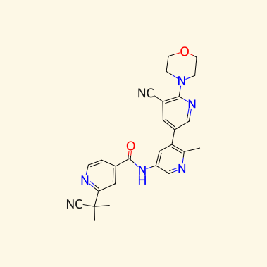 Cc1ncc(NC(=O)c2ccnc(C(C)(C)C#N)c2)cc1-c1cnc(N2CCOCC2)c(C#N)c1